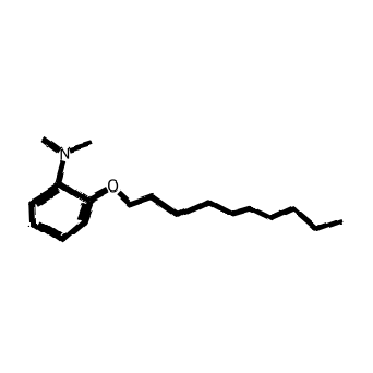 CCCCCCCCCCOc1cc[c]cc1N(C)C